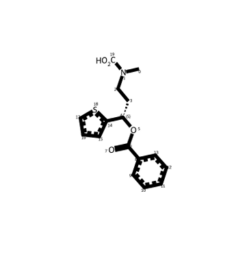 CN(CC[C@H](OC(=O)c1ccccc1)c1cccs1)C(=O)O